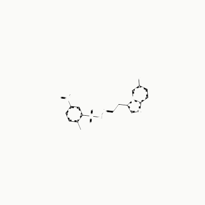 Cc1ccc([N+](=O)[O-])cc1S(=O)(=O)NN=CCc1cnc2ccc(Br)cn12